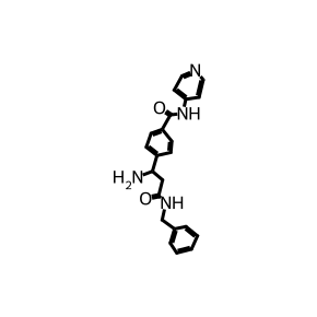 NC(CC(=O)NCc1ccccc1)c1ccc(C(=O)Nc2ccncc2)cc1